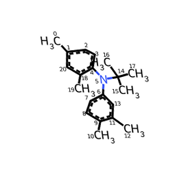 Cc1ccc(N(c2ccc(C)c(C)c2)C(C)(C)C)c(C)c1